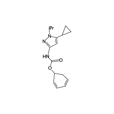 CC(C)n1nc(NC(=O)OC2C=CC=CC2)cc1C1CC1